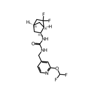 O=C(NCc1ccnc(OC(F)F)c1)N[C@H]1C[C@@H]2C[C@H]1C(F)(F)C2